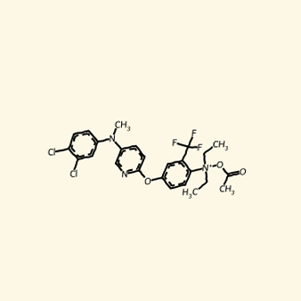 CC[N+](CC)(OC(C)=O)c1ccc(Oc2ccc(N(C)c3ccc(Cl)c(Cl)c3)cn2)cc1C(F)(F)F